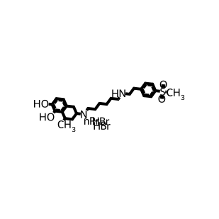 Br.Br.CCCN(CCCCCCNCCc1ccc(S(C)(=O)=O)cc1)C1Cc2ccc(O)c(O)c2C(C)C1